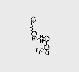 FC(F)(F)c1cc(-c2cccc3nc(Nc4ccc(OCCN5CCCC5)cc4)nn23)ccc1Cl